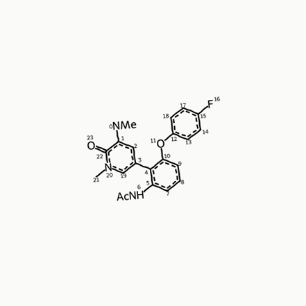 CNc1cc(-c2c(NC(C)=O)cccc2Oc2ccc(F)cc2)cn(C)c1=O